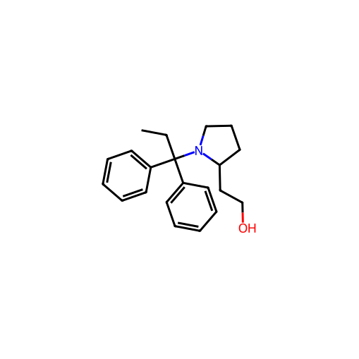 CCC(c1ccccc1)(c1ccccc1)N1CCCC1CCO